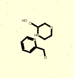 Cl.ClC1COCCN1.ClCc1ccccn1